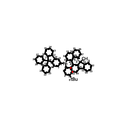 CC(C)(C)c1ccc(N(c2ccc3c(c2)-c2ccccc2C3(c2ccccc2)c2ccccc2)c2ccc3ccccc3c2-c2cccc3c2C(C)(C)c2ccccc2-3)cc1